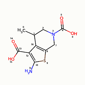 CC1CN(C(=O)O)Cc2sc(N)c(C(=O)O)c21